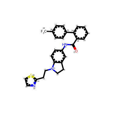 O=C(Nc1ccc2c(c1)CCN2CCc1nccs1)c1ccccc1-c1ccc(C(F)(F)F)cc1